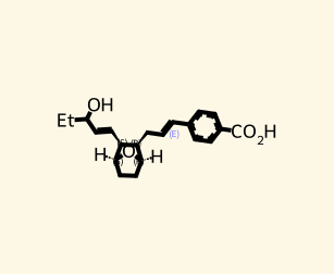 CCC(O)C=C[C@H]1[C@@H](C/C=C/c2ccc(C(=O)O)cc2)[C@H]2CC[C@@H]1O2